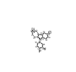 CN1C2CCC1c1c(n(-c3ccc(F)c(F)c3)c3ccc(Cl)cc13)C2